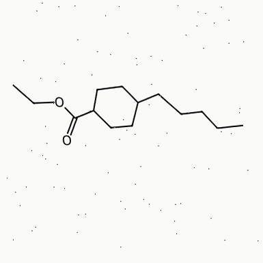 CCCCCC1CCC(C(=O)OCC)CC1